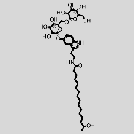 CC(O)CCCCCCCCCCCCCC(=O)NCCc1c[nH]c2ccc(O[C@H]3OC(CO[C@H]4OC(CO)[C@@H](O)[C@H](O)C4O)[C@@H](O)[C@H](O)C3O)cc12